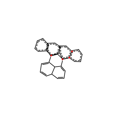 C1=CC2C=CC=C(P(c3ccccc3)c3ccccc3)C2C(P(c2ccccc2)c2ccccc2)=C1